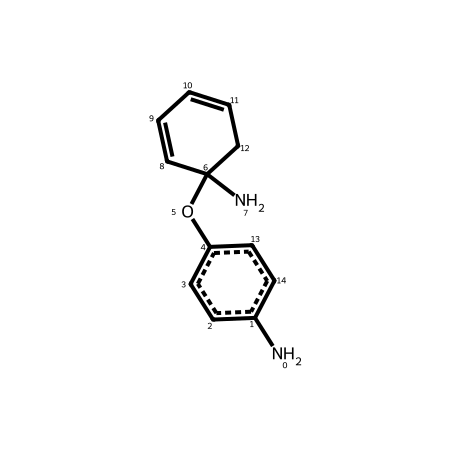 Nc1ccc(OC2(N)C=CC=CC2)cc1